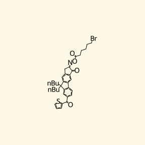 CCCCC1(CCCC)c2cc(C(=O)c3cccs3)ccc2-c2cc3c(cc21)C/C(=N/OC(=O)CCCCCBr)C3=O